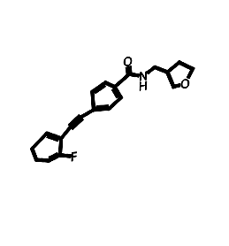 O=C(NCC1CCOC1)c1ccc(C#CC2=CCCC=C2F)cc1